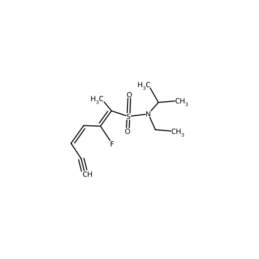 C#C/C=C\C(F)=C(/C)S(=O)(=O)N(CC)C(C)C